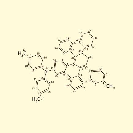 Cc1ccc(C2=c3c(c4ccc(N(c5ccc(C)cc5)c5ccc(C)cc5)cc4c4ccccc34)=C(c3ccccc3)C(c3ccccc3)C2)cc1